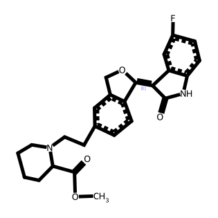 COC(=O)C1CCCCN1CCc1ccc2c(c1)CO/C2=C1/C(=O)Nc2ccc(F)cc21